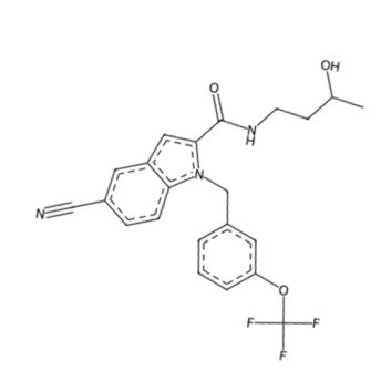 CC(O)CCNC(=O)c1cc2cc(C#N)ccc2n1Cc1cccc(OC(F)(F)F)c1